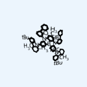 Cc1cc2c3c(c1)N(c1cccc4c1oc1ccccc14)c1cc(N4c5ccc(C(C)(C)C)cc5C5(C)CCCCC45C)ccc1B3c1ccc(N3c4ccc(C(C)(C)C)cc4C4(C)CCCCC34C)cc1N2c1cccc2c1Bc1ccccc1-2